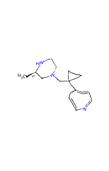 C[C@@H]1CN(CC2(c3ccncc3)CC2)CCN1